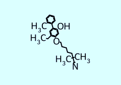 CCc1cc(-c2ccccc2C)c(O)cc1OCCCCCC(C)(C)C#N